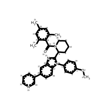 COc1ccc(-n2c(C3CCCCN3C(=O)c3c(C)cc(C)cc3C)nc3cc(-c4cccnc4)ccc32)cc1